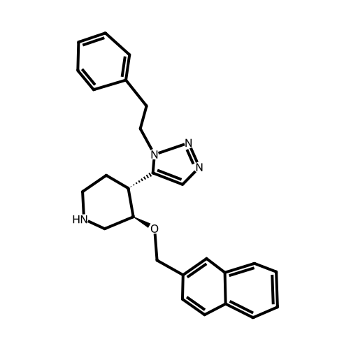 c1ccc(CCn2nncc2[C@H]2CCNC[C@@H]2OCc2ccc3ccccc3c2)cc1